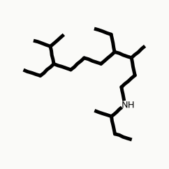 CCC(C)NCCC(C)C(CC)CCCC(CC)C(C)C